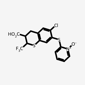 O=C(O)C1Cc2cc(Cl)c(Sc3cccc[n+]3[O-])cc2SC1C(F)(F)F